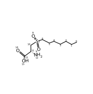 CCCCCCCS(=O)(=O)C[C@H](N)C(=O)O